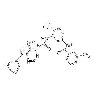 Cc1ccc(NC(=O)c2cccc(C(F)(F)F)c2)cc1NC(=O)c1csc2c(Nc3ccccc3)ncnc12